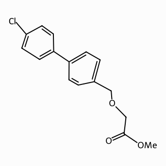 COC(=O)COCc1ccc(-c2ccc(Cl)cc2)cc1